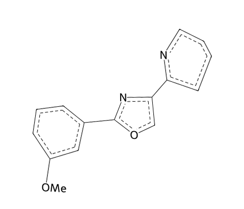 COc1cccc(-c2nc(-c3ccccn3)co2)c1